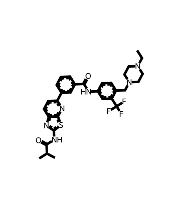 CCN1CCN(Cc2ccc(NC(=O)c3cccc(-c4ccc5nc(NC(=O)C(C)C)sc5n4)c3)cc2C(F)(F)F)CC1